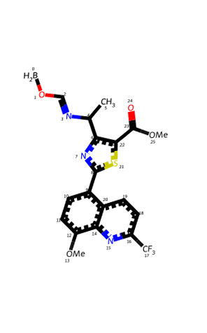 BOC=NC(C)c1nc(-c2ccc(OC)c3nc(C(F)(F)F)ccc23)sc1C(=O)OC